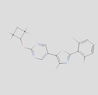 N#Cc1nc(-c2c(F)cccc2Cl)[nH]c1-c1cnc(OC2C(F)(F)CC2(F)F)nc1